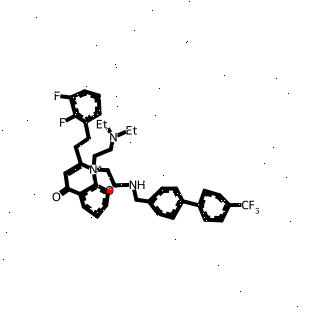 CCN(CC)CC[N+]1(CC(=O)NCc2ccc(-c3ccc(C(F)(F)F)cc3)cc2)C(CCc2cccc(F)c2F)=CC(=O)c2ccccc21